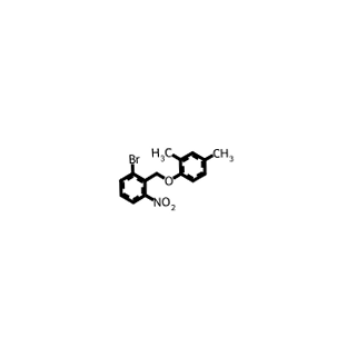 Cc1ccc(OCc2c(Br)cccc2[N+](=O)[O-])c(C)c1